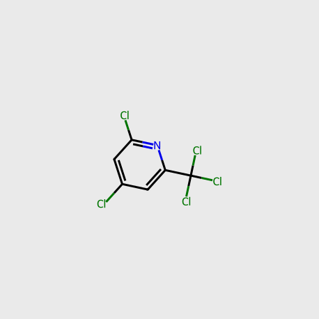 Clc1cc(Cl)nc(C(Cl)(Cl)Cl)c1